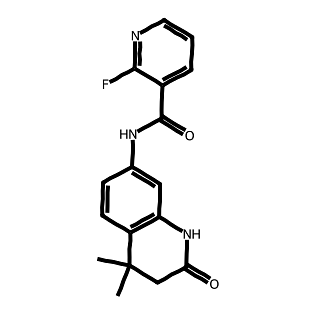 CC1(C)CC(=O)Nc2cc(NC(=O)c3cccnc3F)ccc21